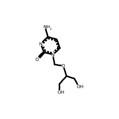 Nc1ccn(COC(CO)CO)c(=O)n1